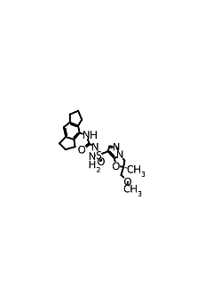 COC[C@]1(C)Cn2ncc([S@](N)(=O)=NC(=O)Nc3c4c(cc5c3CCC5)CCC4)c2O1